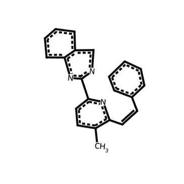 Cc1ccc(-c2ncc3ccccc3n2)nc1/C=C\c1ccccc1